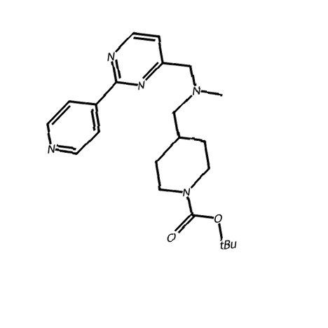 CN(Cc1ccnc(-c2ccncc2)n1)CC1CCN(C(=O)OC(C)(C)C)CC1